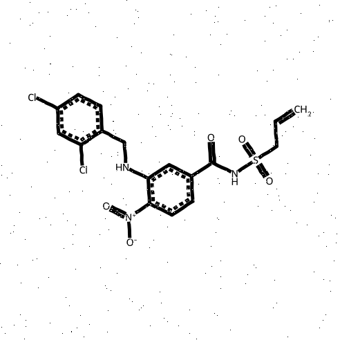 C=CCS(=O)(=O)NC(=O)c1ccc([N+](=O)[O-])c(NCc2ccc(Cl)cc2Cl)c1